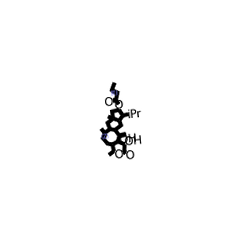 C=C1C2CC3C(C(C)C)C(OC(=O)/C=C/C)CC3(C)CC2/C(C)=C\CC2C(C)OC(=O)C(O)C12O